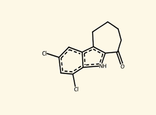 O=C1CCCCc2c1[nH]c1c(Cl)cc(Cl)cc21